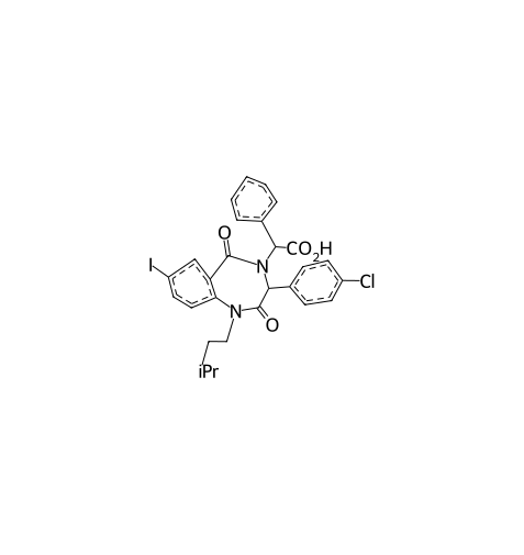 CC(C)CCN1C(=O)C(c2ccc(Cl)cc2)N(C(C(=O)O)c2ccccc2)C(=O)c2cc(I)ccc21